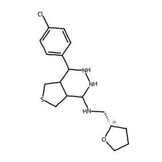 Clc1ccc(C2NNC(NC[C@@H]3CCCO3)C3CSCC23)cc1